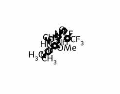 C=CC(=O)Nc1cc(Nc2cc(N3OCC[C@@H]3c3cccc(C(F)(F)F)c3F)ncn2)c(OC)cc1N1CCC(N(C)C)CC1